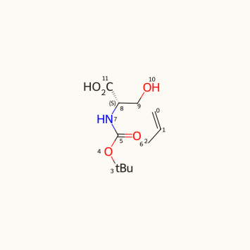 C=CC.CC(C)(C)OC(=O)N[C@@H](CO)C(=O)O